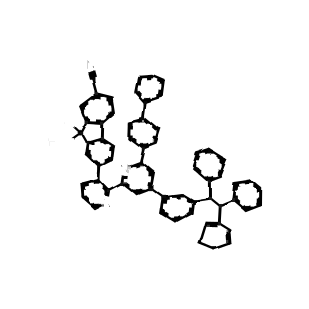 CC1(C)c2cc(C#N)ccc2-c2ccc(-c3cccnc3-c3cc(-c4cccc(C(c5ccccc5)C(C5=CCCC=C5)c5ccccc5)c4)cc(-c4ccc(-c5ccccc5)cc4)n3)cc21